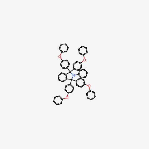 c1ccc(Oc2ccc(C3(c4ccc(Oc5ccccc5)cc4)c4ccccc4C(c4ccc(Oc5ccccc5)cc4)(c4ccc(Oc5ccccc5)cc4)N3c3ccccc3)cc2)cc1